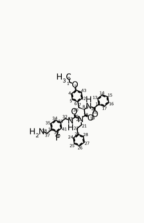 CCOc1ccc(C[C@@H](NC(=O)c2ccccc2)C(=O)N(CCc2ccccc2)C(=O)NCc2ccc(CN)c(F)c2)cc1